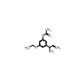 C=C[C](C)c1cc(OCC)cc(OC(C)=O)c1